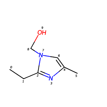 CCc1nc(C)cn1CO